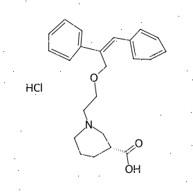 Cl.O=C(O)[C@@H]1CCCN(CCOC/C(=C\c2ccccc2)c2ccccc2)C1